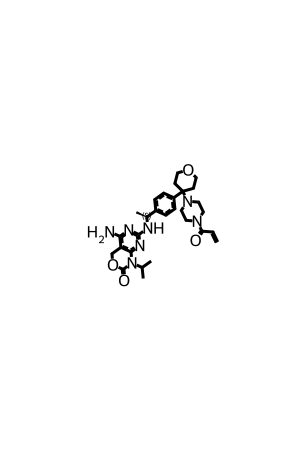 C=CC(=O)N1CCN(C2(c3ccc([C@H](C)Nc4nc(N)c5c(n4)N(C(C)C)C(=O)OC5)cc3)CCOCC2)CC1